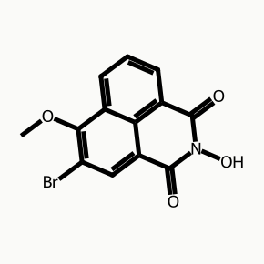 COc1c(Br)cc2c3c(cccc13)C(=O)N(O)C2=O